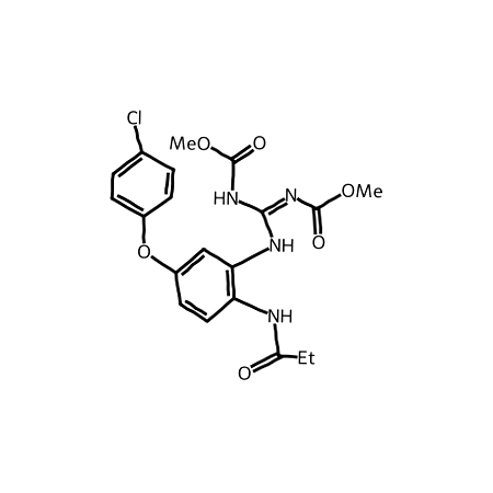 CCC(=O)Nc1ccc(Oc2ccc(Cl)cc2)cc1NC(=NC(=O)OC)NC(=O)OC